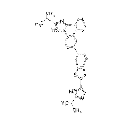 CC(C)c1ncc(-c2cc3ccc(-c4ccc5c(c4)c4ccncc4c4nc(C(C)C)[nH]c54)cc3s2)[nH]1